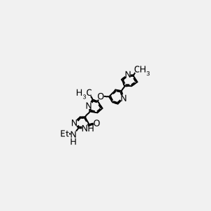 CCNc1ncc(-c2ccc(Oc3ccnc(-c4ccc(C)nc4)c3)c(C)n2)c(=O)[nH]1